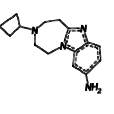 Nc1ccc2nc3n(c2c1)CCN(C1CCC1)CC3